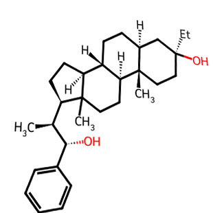 CC[C@]1(O)CC[C@@]2(C)[C@@H](CC[C@H]3[C@@H]4CC[C@H]([C@H](C)[C@H](O)c5ccccc5)C4(C)CC[C@@H]32)C1